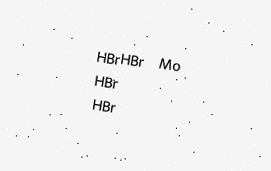 Br.Br.Br.Br.[Mo]